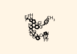 Cc1c(-c2c(-c3cccc4[nH]c(C(F)(F)F)cc34)ncc3snc(O[C@H](Cc4ccccc4OCc4ccnn4CC(F)(F)F)C(=O)O)c23)ccc(OCCN2CCN(C)CC2)c1Cl